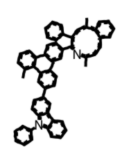 Cc1ccc2ccccc2c(C)cc(-c2ccccc2)c(-c2ccc(-c3cccc(C)c3-c3cc(-c4ccc5c(c4)c4ccccc4n5-c4ccccc4)ccc3C)cc2)n1